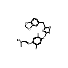 CCN(C)C=Nc1cc(C)c(Oc2nc(Cc3ccc4c(c3)OCO4)ns2)cc1C